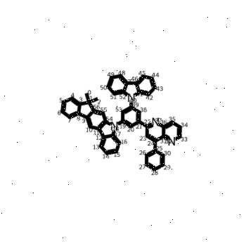 CC1(C)c2ccccc2-c2cc3c4ccccc4n(-c4cc(-c5cc(-c6ccccc6)c6ncccc6n5)cc(-n5c6ccccc6c6ccccc65)c4)c3cc21